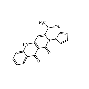 CC(C)c1cc2[nH]c3ccccc3c(=O)c2c(=O)n1-n1cccc1